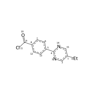 CCc1cnc(-c2ccc(C(=O)Cl)cc2)nc1